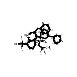 CC(C)CS(=O)(=O)C1(c2c(Cc3ccccc3)cnc3c(C(F)(F)F)cccc23)C=CC=C(c2ccccc2)C1